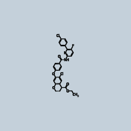 CCOC(=O)C1CCOc2cc(Oc3ccc(C(=O)Nc4ccc(F)c(-c5ccc(Cl)cc5)n4)cc3)c(Cl)cc21